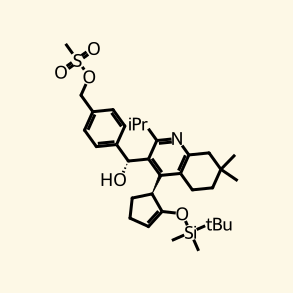 CC(C)c1nc2c(c([C@@H]3CCC=C3O[Si](C)(C)C(C)(C)C)c1[C@H](O)c1ccc(COS(C)(=O)=O)cc1)CCC(C)(C)C2